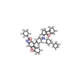 c1ccc(-c2ccc(N(c3ccc(-c4c5oc(-c6ccccc6)nc5cc5oc6ccccc6c45)cc3)c3cccc4c3oc3ccccc34)cc2)cc1